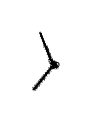 CCCCCCCCCCCCCCCCCCCCCCOc1ccc(C(=O)OC)c(OCCCCCCCCCCCCCCCCCCCCCC)c1